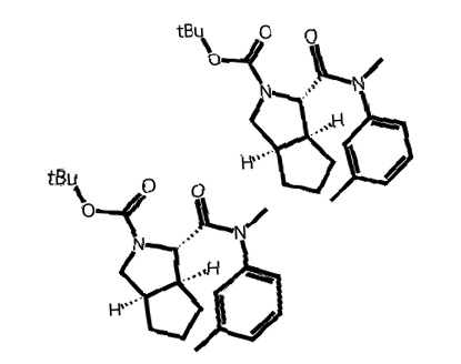 Cc1cccc(N(C)C(=O)[C@@H]2[C@H]3CCC[C@H]3CN2C(=O)OC(C)(C)C)c1.Cc1cccc(N(C)C(=O)[C@@H]2[C@H]3CCC[C@H]3CN2C(=O)OC(C)(C)C)c1